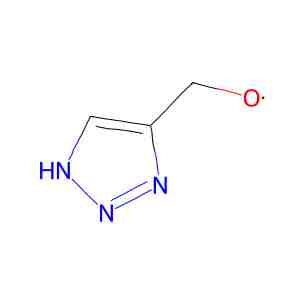 [O]Cc1c[nH]nn1